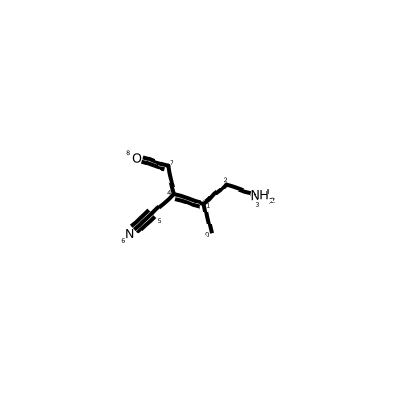 C/C(CN)=C(\C#N)C=O